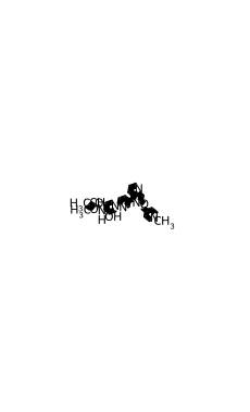 CN1CCC(COc2cc3ncccc3c(-c3ccc(N4CC[C@H](NC(=O)OC(C)(C)C)[C@@H](O)C4)nc3)n2)CC1